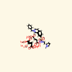 CN1CCC[C@H]1CCNS(=O)(=O)c1ccc2c(c1)CN(CC1CCCCC1)CC2.O.O=C(O)C=CC(=O)O.O=C(O)C=CC(=O)O